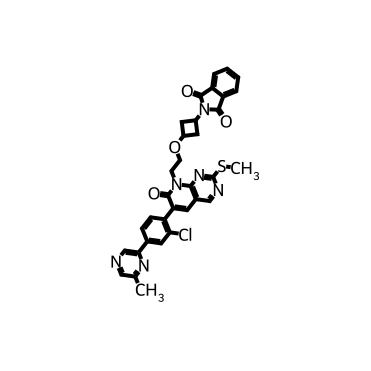 CSc1ncc2cc(-c3ccc(-c4cncc(C)n4)cc3Cl)c(=O)n(CCOC3CC(N4C(=O)c5ccccc5C4=O)C3)c2n1